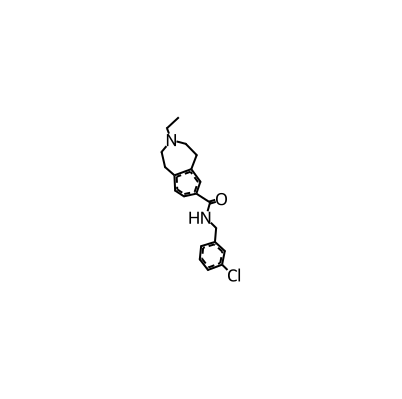 CCN1CCc2ccc(C(=O)NCc3cccc(Cl)c3)cc2CC1